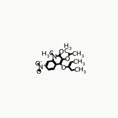 CC=C(CC)Oc1c(OC(C)C)c(=O)n(C)c2cc([N+](=O)[O-])ccc12